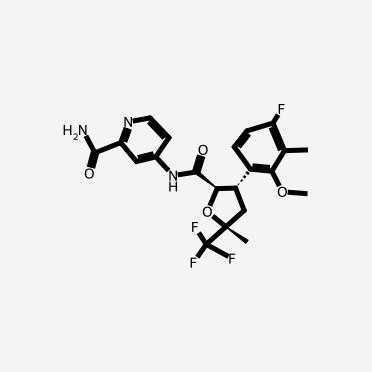 COc1c([C@@H]2C[C@](C)(C(F)(F)F)O[C@H]2C(=O)Nc2ccnc(C(N)=O)c2)ccc(F)c1C